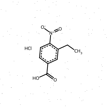 CCc1cc(C(=O)O)ccc1[N+](=O)[O-].Cl